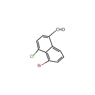 O=Cc1ccc(Cl)c2c(Br)cccc12